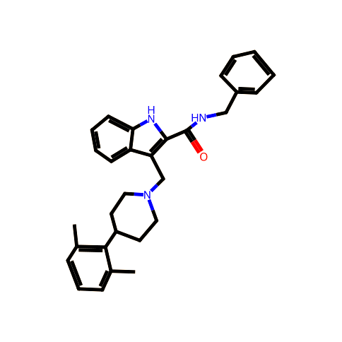 Cc1cccc(C)c1C1CCN(Cc2c(C(=O)NCc3ccccc3)[nH]c3ccccc23)CC1